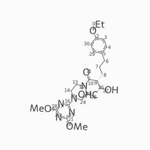 CCOc1ccc(CCC[C@@H](C(=O)N2CCN(c3nc(OC)nc(OC)n3)CC2)[C@H](O)C=O)cc1